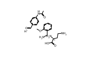 CC(=O)Nc1ccc(C=O)cc1.COc1ccccc1CN.NCC[C@H](N)C(=O)O.[H+]